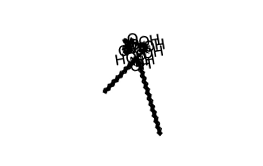 CCCCCCCCCCCCCCCCCCCCCCCCCCN[C@@H](CO[C@H]1O[C@H](COC(=O)N(CC)C2COCC#[N+]2)[C@H](O)[C@H](O)[C@H]1O)[C@H](O)[C@H](O)CCCCCCCCCCCCCC